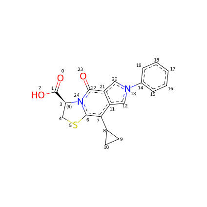 O=C(O)[C@@H]1CSc2c(C3CC3)c3cn(-c4ccccc4)cc3c(=O)n21